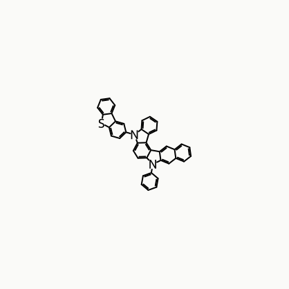 c1ccc(-n2c3cc4ccccc4cc3c3c4c5ccccc5n(-c5ccc6sc7ccccc7c6c5)c4ccc32)cc1